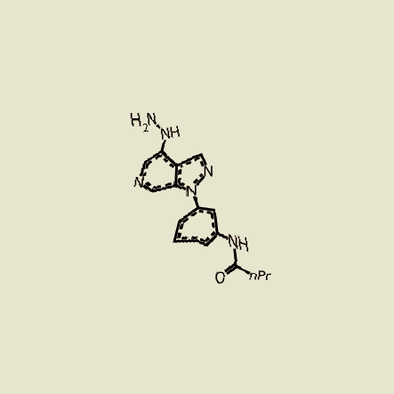 CCCC(=O)Nc1cccc(-n2ncc3c(NN)cncc32)c1